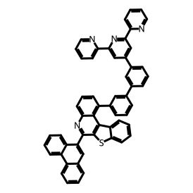 c1ccc(-c2cc(-c3cccc(-c4cccc(-c5cccc6nc(-c7cc8ccccc8c8ccccc78)c7sc8ccccc8c7c56)c4)c3)cc(-c3ccccn3)n2)nc1